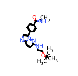 CNC(=O)c1ccc(-c2cnc3ccc(NCCOC(C)(C)C)nn23)cc1